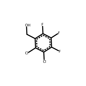 OCc1c(F)c(F)c(F)c(Cl)c1Cl